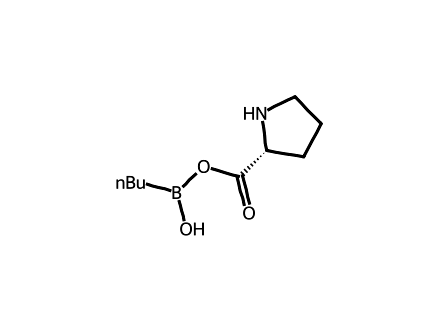 CCCCB(O)OC(=O)[C@H]1CCCN1